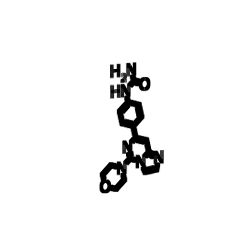 NC(=O)Nc1ccc(-c2cc3nccn3c(N3CCOCC3)n2)cc1